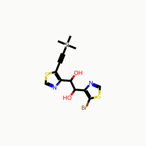 C[Si](C)(C)C#Cc1scnc1C(O)C(O)c1ncsc1Br